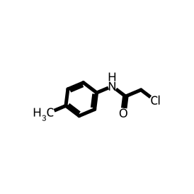 Cc1ccc(NC(=O)CCl)cc1